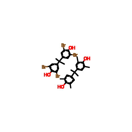 CC(C)(c1cc(Br)c(O)c(Br)c1)c1cc(Br)c(O)c(Br)c1.Cc1cc(C(C)(C)c2cc(C)c(O)c(C)c2)cc(C)c1O